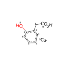 O=C(O)Cc1ccccc1O.[Cu]